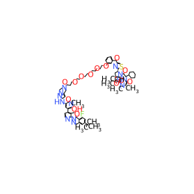 C[C@@H](C(=O)N[C@H](C(=O)N1CCC[C@H]1c1nc(C(=O)c2cccc(OCCOCCOCCOCCOCCC(=O)N3CCn4nc(Nc5cc(-c6ccnc(-n7ncc8cc(C(C)(C)C)cc(F)c8c7=O)c6CO)cn(C)c5=O)cc4C3)c2)cs1)C1CCCCC1)N(C)C(=O)OC(C)(C)C